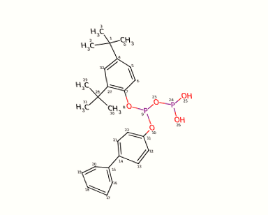 CC(C)(C)c1ccc(OP(Oc2ccc(-c3ccccc3)cc2)OP(O)O)c(C(C)(C)C)c1